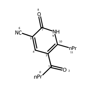 CCCC(=O)c1cc(C#N)c(=O)[nH]c1CCC